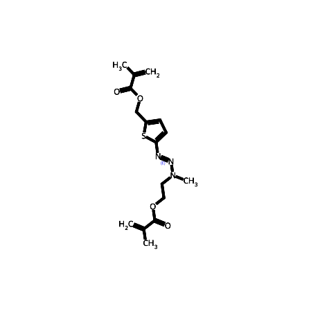 C=C(C)C(=O)OCCN(C)/N=N/c1ccc(COC(=O)C(=C)C)s1